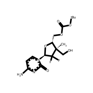 CC(C)(C)OC(=O)OC[C@H]1O[C@H](n2ccc(N)nc2=O)C(F)(F)[C@]1(C)CO